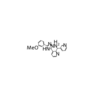 COc1cccc(-c2nnc(-c3cccnc3C(N)c3cccnc3)[nH]2)c1